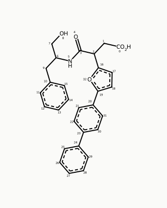 O=C(O)CC(C(=O)NC(CO)Cc1ccccc1)c1ccc(-c2ccc(-c3ccccc3)cc2)o1